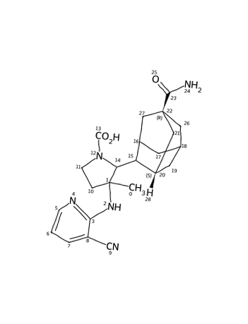 CC1(Nc2ncccc2C#N)CCN(C(=O)O)C1C1C2CC3C[C@H]1C[C@@](C(N)=O)(C3)C2